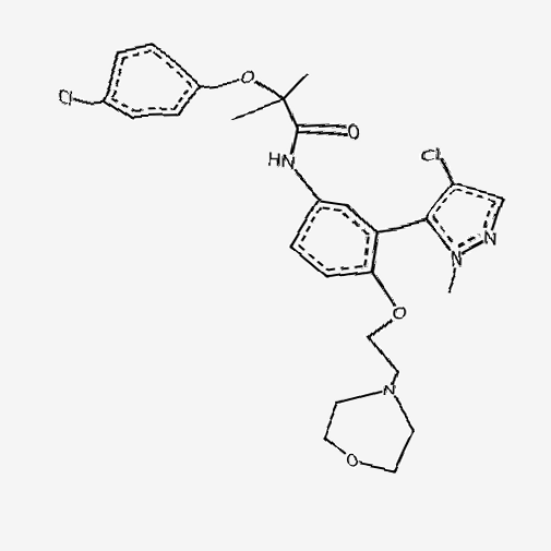 Cn1ncc(Cl)c1-c1cc(NC(=O)C(C)(C)Oc2ccc(Cl)cc2)ccc1OCCN1CCOCC1